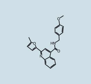 COc1ccc(CNC(=O)c2cc(-c3ccc(C)o3)nc3ccccc23)cc1